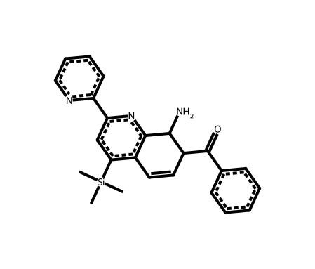 C[Si](C)(C)c1cc(-c2ccccn2)nc2c1C=CC(C(=O)c1ccccc1)C2N